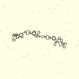 CCc1cc2ncc(CN3CCN(c4ccc(C(=O)NC5CC(N6CCN(c7ccc8c(c7)C(=O)N([C@H]7CCC(=O)NC7=O)C8=O)CC6)C5)nc4)CC3)cc2[nH]c1=O